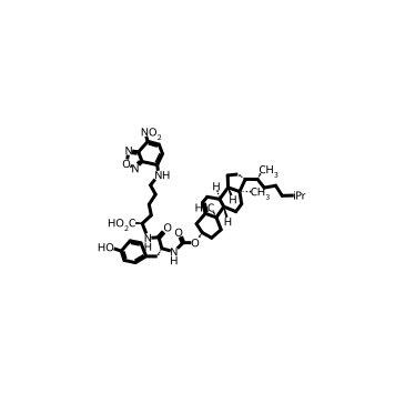 CC(C)CCC[C@@H](C)[C@H]1CC[C@H]2[C@@H]3CC=C4C[C@@H](OC(=O)N[C@H](Cc5ccc(O)cc5)C(=O)N[C@H](CCCCNc5ccc([N+](=O)[O-])c6nonc56)C(=O)O)CC[C@]4(C)[C@H]3CC[C@]12C